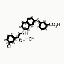 Cl.O=C(O)c1cccc(Sc2ccc3c(c2)C[C@@H](NC[C@H](O)c2cccc(Cl)c2)CC3)c1